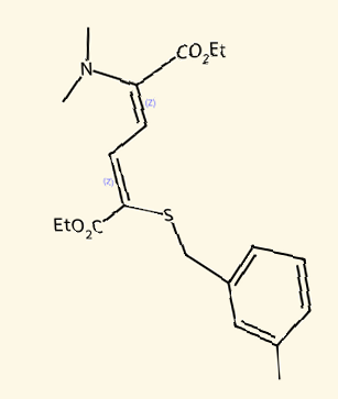 CCOC(=O)/C(=C/C=C(/C(=O)OCC)N(C)C)SCc1cccc(C)c1